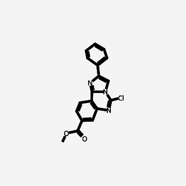 COC(=O)c1ccc2c(c1)nc(Cl)n1cc(-c3ccccc3)nc21